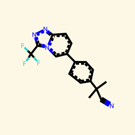 CC(C)(C#N)c1ccc(-c2ccc3nnc(C(F)(F)F)n3c2)cc1